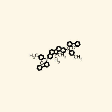 Cc1ccc(N(c2ccc3c4c(ccc3c2)-c2ccc3cc(N(c5ccc(C)cc5)c5cccc6c5oc5ccccc56)ccc3c2C4(C)C)c2cccc3c2oc2ccccc23)cc1